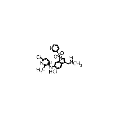 CNCc1cn(S(=O)(=O)c2cccnc2)c2cc(Nc3ccc(Cl)nc3C)ccc12.Cl